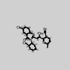 Cc1ccc(C#N)c(C(O)=Cc2nc3ccc(Cl)cc3c(=O)n2-c2ccccc2Cl)n1